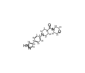 O=C(C1CCN(c2ccc(-c3cn[nH]c3)cc2)CC1)N1CCOCC1